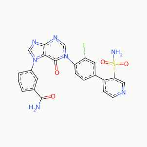 NC(=O)c1cccc(-n2cnc3ncn(-c4ccc(-c5ccncc5S(N)(=O)=O)cc4F)c(=O)c32)c1